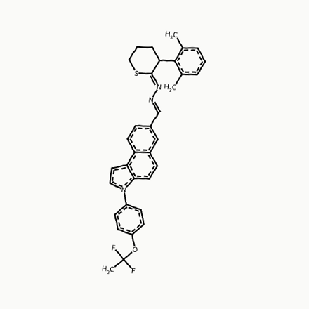 Cc1cccc(C)c1C1CCCS/C1=N\N=C\c1ccc2c(ccc3c2ccn3-c2ccc(OC(C)(F)F)cc2)c1